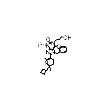 CC1=C(c2nc3c(c(=O)n(CCCO)c(=O)n3C(C)C)n2CC2=C=C=CC=C2)CCC(OC2CCC2)=N1